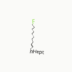 CCCCCCCCC=CCCCCCCCCF